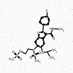 CNC(=O)c1c(-c2ccc(F)cc2)oc2cc(N(CCOS(C)(=O)=O)S(C)(=O)=O)c(OC(C)C)cc12